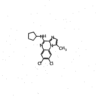 Cc1cnc2c(NC3CCCC3)nc3cc(Cl)c(Cl)cc3n12